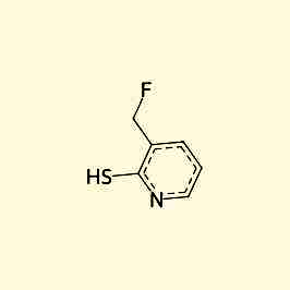 FCc1cccnc1S